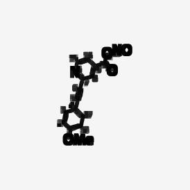 COc1ccc(C#Cc2cc(C(=O)ON=O)ccn2)cc1